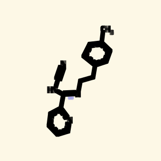 Cc1ccc(CC/N=C(\NC#N)c2ccccn2)cc1